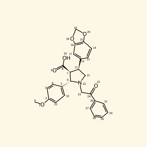 COc1ccc([C@@H]2[C@@H](C(=O)O)[C@@H](c3ccc4c(c3)OCO4)CN2CC(=O)c2ccccc2)cc1